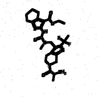 CCOC(=O)c1c(NC(=O)N(C)Cc2c(C(C)(F)F)sc3c2CCN(C(=O)C(C)N)C3)sc2c1CCCC2